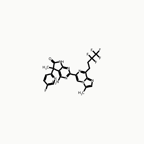 Cc1cnc2c(CCC(F)(F)C(F)(F)F)nc(-c3nc(N)c4c(n3)NC(=O)C4(C)c3ccc(F)cn3)cn12